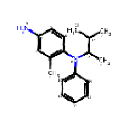 Cc1cc(N)ccc1N(c1ccccc1)C(C)C(C)C